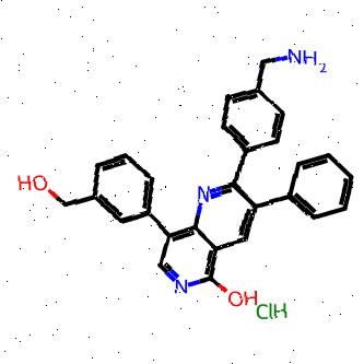 Cl.NCc1ccc(-c2nc3c(-c4cccc(CO)c4)cnc(O)c3cc2-c2ccccc2)cc1